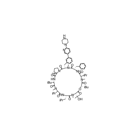 CC[C@H](C)[C@@H]1NC(=O)[C@@H]2CCCN2C(=O)[C@H](Cc2cccc(-c3ccc(N4CCNCC4)nc3)c2)N(C)C(=O)[C@H](Cc2ccccc2)NC(=O)C(C(C)C)N(C)C(=O)[C@@H]([C@@H](C)CC)OC(=O)[C@H](C(C)(C)O)N(C)C(=O)[C@H](CC(C)C)NC(=O)C(C(C)C)N(C)C1=O